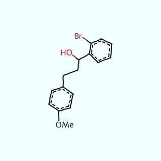 COc1ccc(CCC(O)c2ccccc2Br)cc1